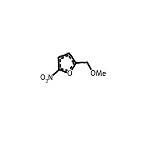 COCc1ccc([N+](=O)[O-])o1